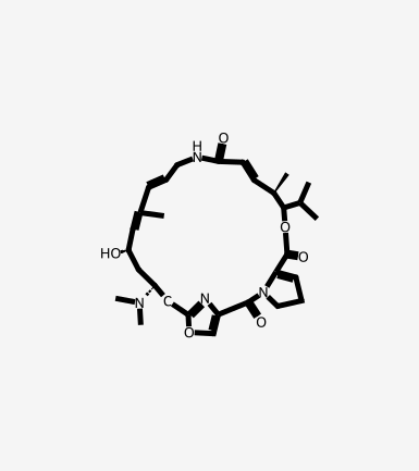 CC1=C\[C@@H](O)C[C@@H](N(C)C)Cc2nc(co2)C(=O)N2CCC=C2C(=O)OC(C(C)C)[C@H](C)/C=C/C(=O)NC\C=C\1